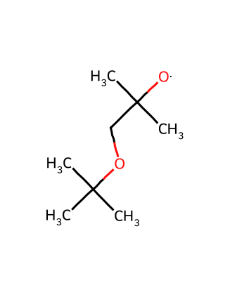 CC(C)([O])COC(C)(C)C